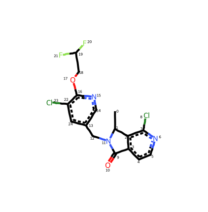 CC1c2c(ccnc2Cl)C(=O)N1Cc1cnc(OCC(F)F)c(Cl)c1